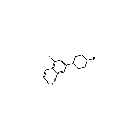 CCC1CCC(c2cc(F)c(/C=C\C(F)(F)F)c(F)c2)CC1